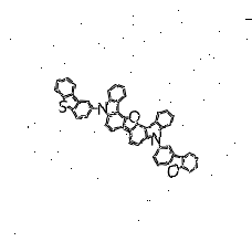 c1ccc2c(c1)oc1ccc(-n3c4ccccc4c4c5oc6c(ccc7c6c6ccccc6n7-c6ccc7sc8ccccc8c7c6)c5ccc43)cc12